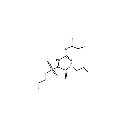 CCCCS(=O)(=O)N(NC(=O)OC(C)CC)C(=O)NCCC